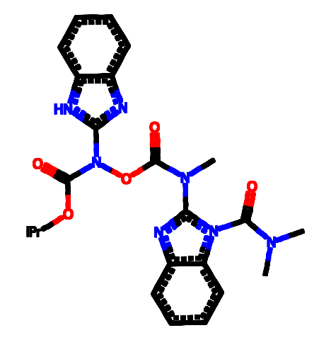 CC(C)OC(=O)N(OC(=O)N(C)c1nc2ccccc2n1C(=O)N(C)C)c1nc2ccccc2[nH]1